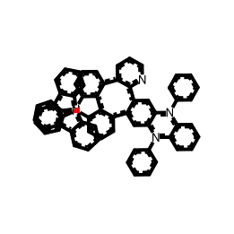 c1ccc(-n2c3ccccc3n(-c3ccccc3)c3cc4c(cc32)c2cccc(-n3c5ccccc5c5ccccc53)c2c2c(-n3c5ccccc5c5ccccc53)cccc2c2cccnc42)cc1